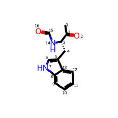 CC(=O)[C@H](Cc1c[nH]c2ccccc12)NC=O